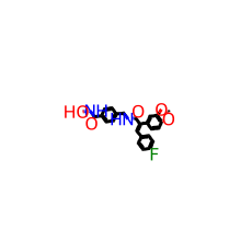 O=C(NCc1ccc(C(=O)NO)cc1)/C(=C/c1ccc(F)cc1)c1ccc2c(c1)OCO2